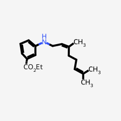 CCOC(=O)c1cccc(NCC=C(C)CCC=C(C)C)c1